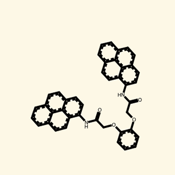 O=C(COc1ccccc1OCC(=O)Nc1ccc2ccc3cccc4ccc1c2c34)Nc1ccc2ccc3cccc4ccc1c2c34